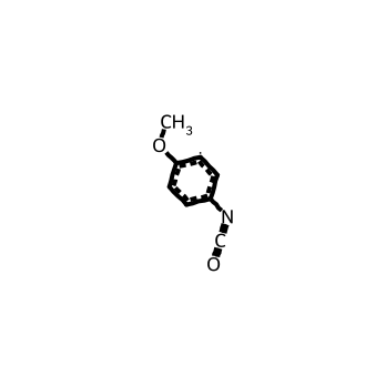 COc1[c]cc(N=C=O)cc1